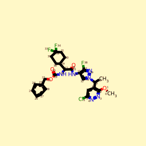 COc1nnc(Cl)cc1C(C)n1cc(NC(=O)C(NC(=O)OCc2ccccc2)C2CCC(F)(F)CC2)c(F)n1